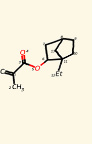 C=C(C)C(=O)OC1CC2CCC1(CC)C2